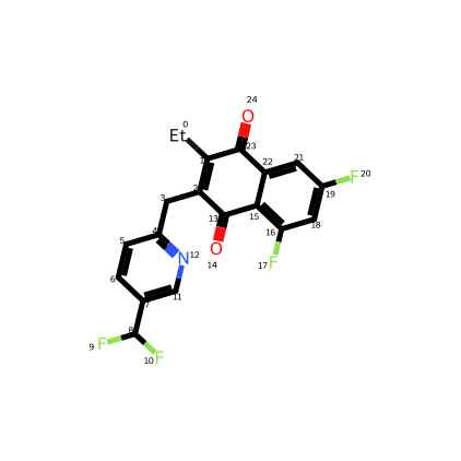 CCC1=C(Cc2ccc(C(F)F)cn2)C(=O)c2c(F)cc(F)cc2C1=O